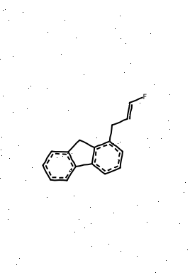 FC=CCc1cccc2c1Cc1ccccc1-2